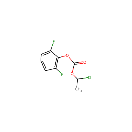 CC(Cl)OC(=O)Oc1c(F)cccc1F